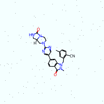 Cc1ccc(C#N)c(Cn2c3cc(-c4cnc(N5CCN6C(=O)NC[C@H]6C5)nc4)ccc3c(=O)n2C)c1